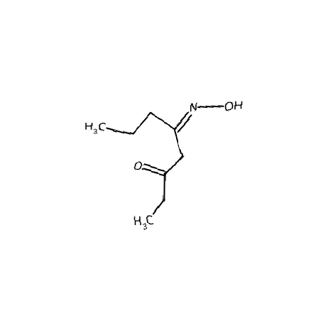 CCC/C(CC(=O)CC)=N/O